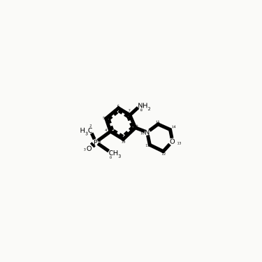 CP(C)(=O)c1ccc(N)c(N2CCOCC2)c1